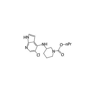 CCCOC(=O)N1CCCC(Nc2c(Cl)cnc3[nH]ccc23)C1